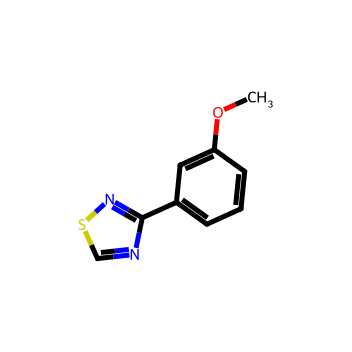 COc1cccc(-c2ncsn2)c1